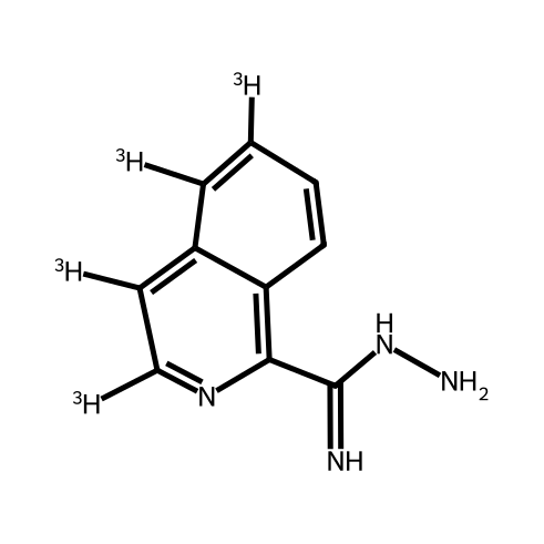 [3H]c1ccc2c(C(=N)NN)nc([3H])c([3H])c2c1[3H]